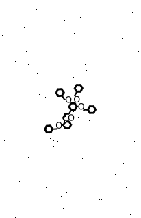 C1=CC(c2cc(OCc3ccccc3)c(OCc3ccccc3)c(OCc3ccccc3)c2)Oc2cccc(OCc3ccccc3)c21